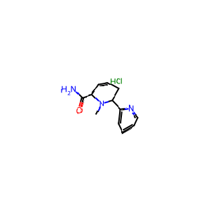 CN1C(C(N)=O)C=CCC1c1ccccn1.Cl